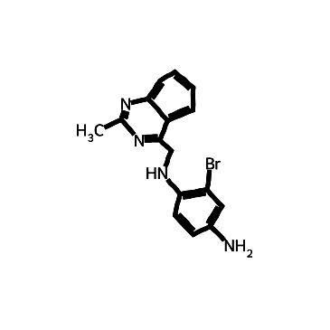 Cc1nc(CNc2ccc(N)cc2Br)c2ccccc2n1